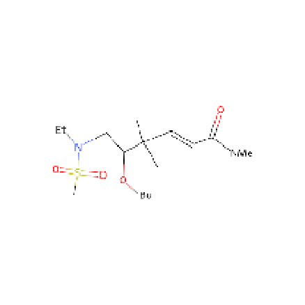 CCC(C)OC(CN(CC)S(C)(=O)=O)C(C)(C)C=CC(=O)NC